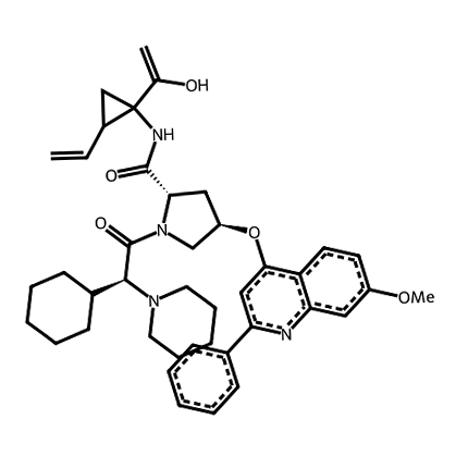 C=CC1CC1(NC(=O)[C@@H]1C[C@@H](Oc2cc(-c3ccccc3)nc3cc(OC)ccc23)CN1C(=O)[C@H](C1CCCCC1)N1CCCCC1)C(=C)O